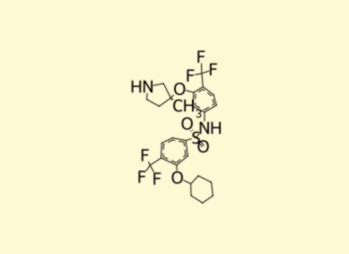 C[C@@]1(Oc2cc(NS(=O)(=O)c3ccc(C(F)(F)F)c(OC4CCCCC4)c3)ccc2C(F)(F)F)CCNC1